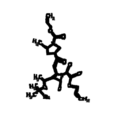 C=CCOC(=O)C(=O)N1C(=O)C(C(C)O[Si](C)(C)C(C)(C)C)C1CC(=O)C1CC(C)N(C(=O)OCC=C)C1